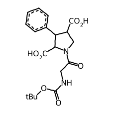 CC(C)(C)OC(=O)NCC(=O)N1CC(C(=O)O)C(c2ccccc2)C1C(=O)O